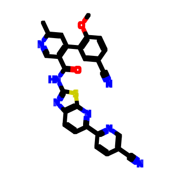 COc1ccc(C#N)cc1-c1cc(C)ncc1C(=O)Nc1nc2ccc(-c3ccc(C#N)cn3)nc2s1